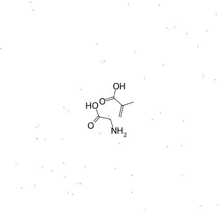 C=C(C)C(=O)O.NCC(=O)O